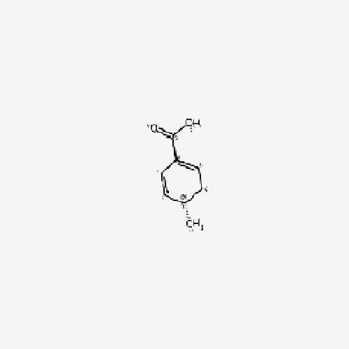 C[C@@H]1C=CC(C(=O)O)=CC1